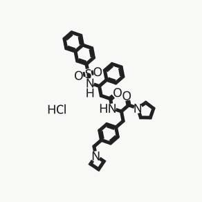 Cl.O=C(CC(NS(=O)(=O)c1ccc2ccccc2c1)c1ccccc1)NC(Cc1ccc(CN2CCC2)cc1)C(=O)N1CCCC1